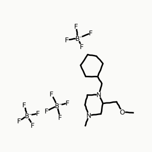 COCC1CN(C)CCN1CC1CCCCC1.F[B-](F)(F)F.F[B-](F)(F)F.F[B-](F)(F)F